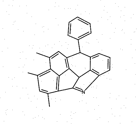 Cc1cc(C)c2c(C)cc3c4c2c1C1=Nc2cccc(c2C14)C3c1ccccc1